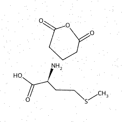 CSCC[C@H](N)C(=O)O.O=C1CCCC(=O)O1